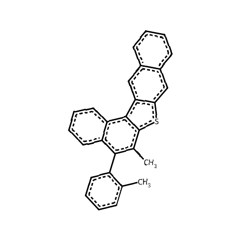 Cc1ccccc1-c1c(C)c2sc3cc4ccccc4cc3c2c2ccccc12